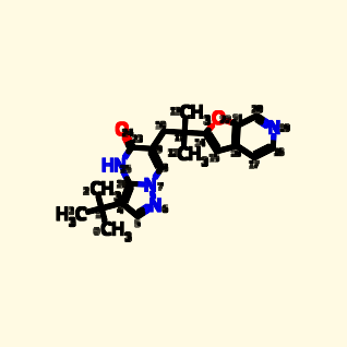 CC(C)(C)c1cnn2cc(CC(C)(C)c3cc4ccncc4o3)c(=O)[nH]c12